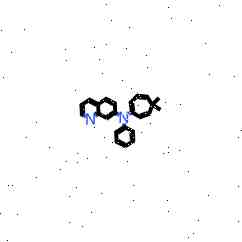 CC1(C)C=CC=C(N(c2ccccc2)c2ccc3cccnc3c2)C=C1